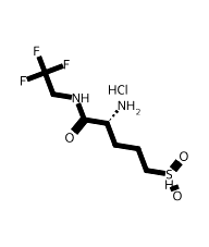 Cl.N[C@H](CCC[SH](=O)=O)C(=O)NCC(F)(F)F